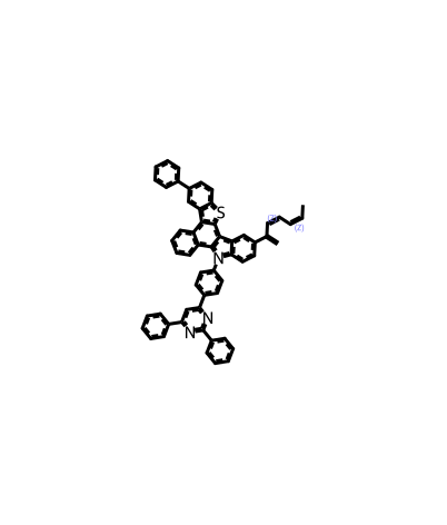 C=C(/C=C\C=C/C)c1ccc2c(c1)c1c3sc4ccc(-c5ccccc5)cc4c3c3ccccc3c1n2-c1ccc(-c2cc(-c3ccccc3)nc(-c3ccccc3)n2)cc1